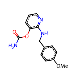 COc1ccc(CNc2ncccc2OC(N)=O)cc1